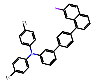 Cc1ccc(N(c2ccc(C)cc2)c2cccc(-c3ccc(-c4cccc5ccc(I)cc45)cc3)c2)cc1